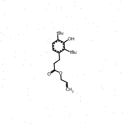 C=CCOC(=O)CCc1ccc(C(C)(C)C)c(O)c1C(C)(C)C